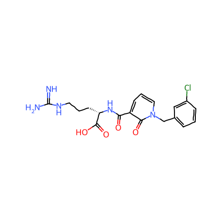 N=C(N)NCCC[C@H](NC(=O)c1cccn(Cc2cccc(Cl)c2)c1=O)C(=O)O